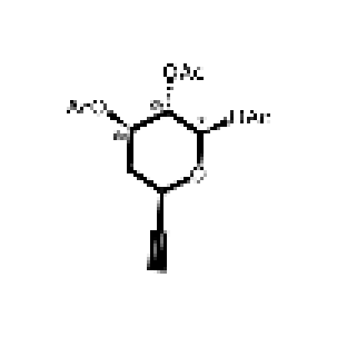 C#CC1C[C@@H](OC(C)=O)[C@H](OC(C)=O)[C@@H](OC(C)=O)O1